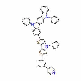 c1ccc(-n2c3ccccc3c3cc4c(cc32)c2cc(-c3cc5c(s3)c3sc(-c6cccc(-c7ccncc7)c6)cc3n5-c3ccccc3)ccc2n4-c2ccccc2)cc1